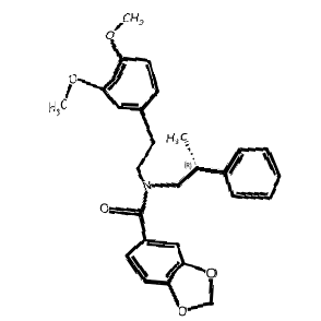 COc1ccc(CCN(C[C@H](C)c2ccccc2)C(=O)c2ccc3c(c2)OCO3)cc1OC